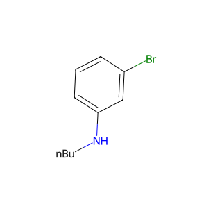 CCCCNc1cccc(Br)c1